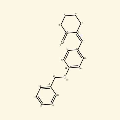 O=C1CCCC/C1=C/c1ccc(OCc2ccccc2)cc1